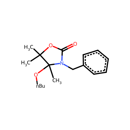 CCCCOC1(C)N(Cc2ccccc2)C(=O)OC1(C)C